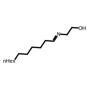 CCCCCCCCCCCC=NCCO